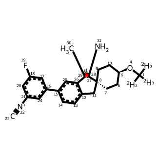 [2H]C([2H])([2H])O[C@H]1CC[C@]2(CC1)Cc1ccc(-c3cc(F)cc([N+]#[C-])c3)cc1C21N=C(C)C(N)=N1